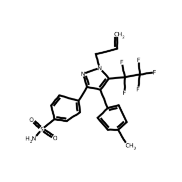 C=CCn1nc(-c2ccc(S(N)(=O)=O)cc2)c(-c2ccc(C)cc2)c1C(F)(F)C(F)(F)F